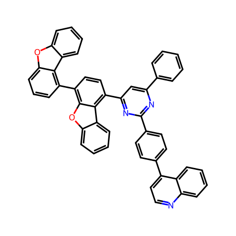 c1ccc(-c2cc(-c3ccc(-c4cccc5oc6ccccc6c45)c4oc5ccccc5c34)nc(-c3ccc(-c4ccnc5ccccc45)cc3)n2)cc1